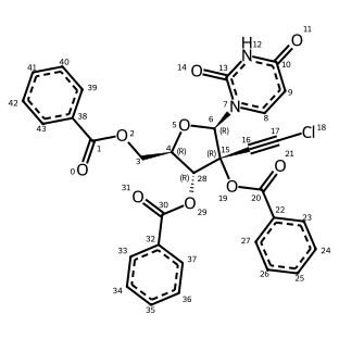 O=C(OC[C@H]1O[C@@H](n2ccc(=O)[nH]c2=O)[C@](C#CCl)(OC(=O)c2ccccc2)[C@@H]1OC(=O)c1ccccc1)c1ccccc1